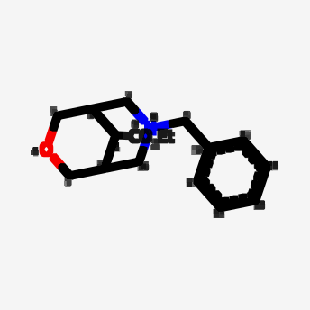 CCOC(=O)C1C2COCC1CN(Cc1ccccc1)C2